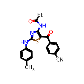 CCC(=O)Nc1nc(Nc2ccc(C)cc2)sc1C(=O)c1ccc(C#N)cc1